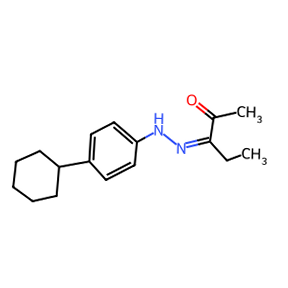 CCC(=NNc1ccc(C2CCCCC2)cc1)C(C)=O